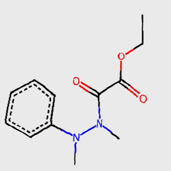 CCOC(=O)C(=O)N(C)N(C)c1ccccc1